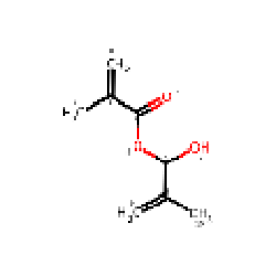 C=C(C)C(=O)OC(O)C(=C)C